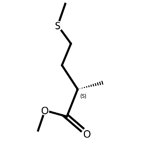 COC(=O)[C@@H](C)CCSC